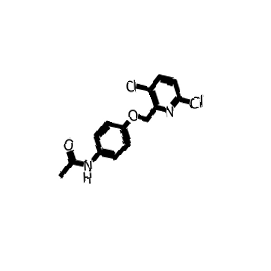 CC(=O)Nc1ccc(OCc2nc(Cl)ccc2Cl)cc1